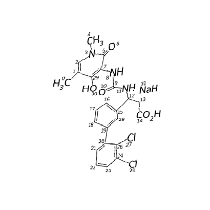 Cc1cn(C)c(=O)c(NC(=O)NC(CC(=O)O)c2cccc(-c3cccc(Cl)c3Cl)c2)c1O.[NaH]